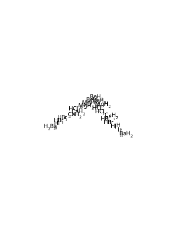 Br.Br.Br.Br.Cl.Cl.Cl.I.I.I.[BaH2].[BaH2].[BeH2].[BeH2].[BeH2].[CaH2].[CaH2].[CaH2].[MgH2].[MgH2].[MgH2]